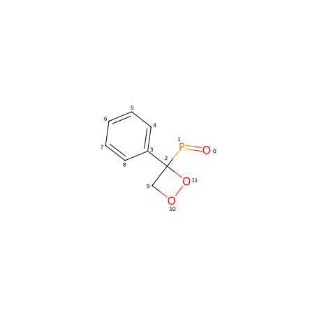 O=PC1(c2ccccc2)COO1